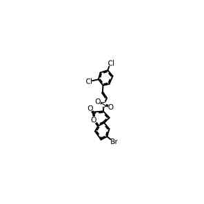 O=c1oc2ccc(Br)cc2cc1S(=O)(=O)/C=C/c1ccc(Cl)cc1Cl